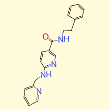 O=C(NCCc1ccccc1)c1ccc(NCc2ccccn2)nc1